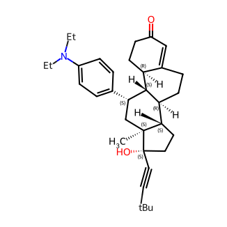 CCN(CC)c1ccc([C@H]2C[C@@]3(C)[C@@H](CC[C@@]3(O)C#CC(C)(C)C)[C@@H]3CCC4=CC(=O)CC[C@@H]4[C@H]32)cc1